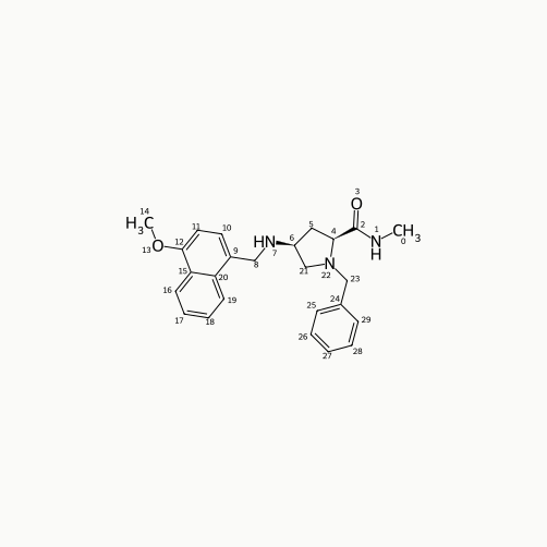 CNC(=O)[C@@H]1C[C@H](NCc2ccc(OC)c3ccccc23)CN1Cc1ccccc1